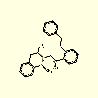 COc1ccccc1CC(C)NC[C@H](O)c1ccccc1OCc1ccccc1